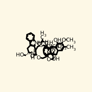 COC1=C(O)C2C(C=C1C)CC1(O)CN(C)[C@@H]2[C@@H]2[C@@H]3SC[C@]4(N[C@H](CO)Cc5c4[nH]c4ccccc54)C(=O)OCC(c4c5c(c(C)c(OC(C)=O)c43)OCO5)N21